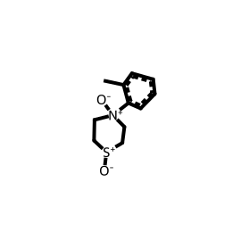 Cc1ccccc1[N+]1([O-])CC[S+]([O-])CC1